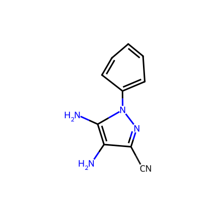 N#Cc1nn(-c2ccccc2)c(N)c1N